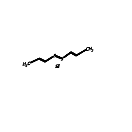 CCCSSCCC.[Si]